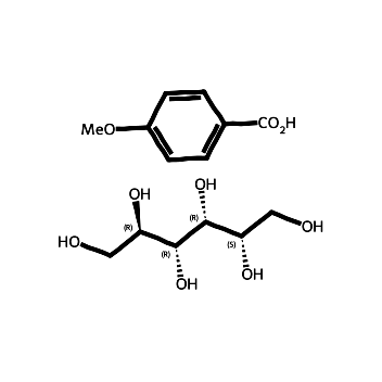 COc1ccc(C(=O)O)cc1.OC[C@@H](O)[C@@H](O)[C@H](O)[C@@H](O)CO